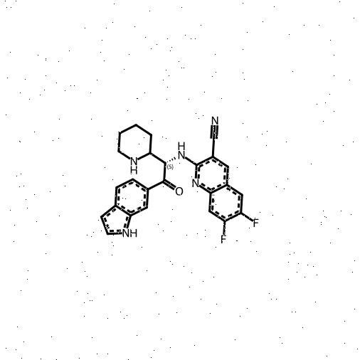 N#Cc1cc2cc(F)c(F)cc2nc1N[C@H](C(=O)c1ccc2cc[nH]c2c1)C1CCCCN1